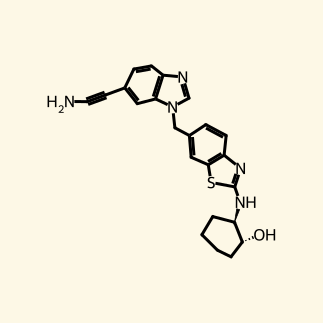 NC#Cc1ccc2ncn(Cc3ccc4nc(N[C@@H]5CCCC[C@H]5O)sc4c3)c2c1